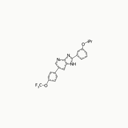 CC(C)Oc1cccc(-c2nc3ncc(-c4ccc(OC(F)(F)F)cc4)cc3[nH]2)c1